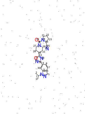 CC(C)n1ncc2ccc(-c3noc(C4CCN(C(=O)N5CCCC5C#N)CC4)n3)cc21